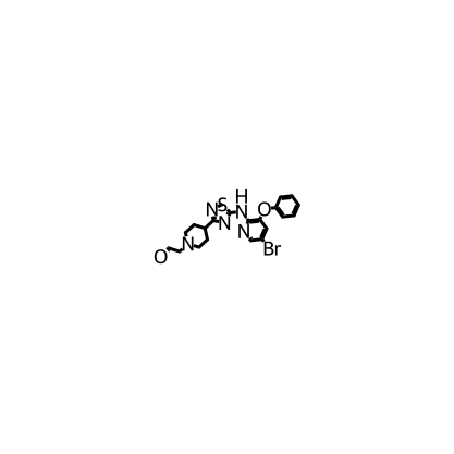 O=CCN1CCC(c2nsc(Nc3ncc(Br)cc3Oc3ccccc3)n2)CC1